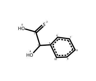 OC(=S)C(O)c1ccccc1